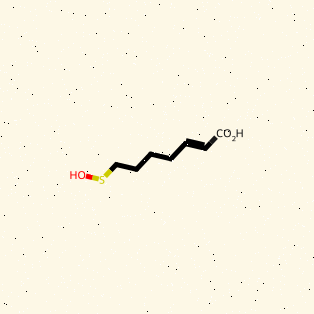 O=C(O)C=CCCCCSO